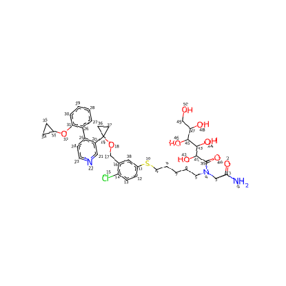 NC(=O)CN(CCCCCSc1ccc(Cl)c(COC2(c3cnccc3-c3ccccc3OC3CC3)CC2)c1)C(=O)C(O)C(O)C(O)C(O)CO